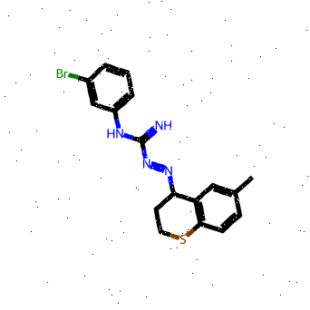 Cc1ccc2c(c1)C(N=NC(=N)Nc1cccc(Br)c1)CCS2